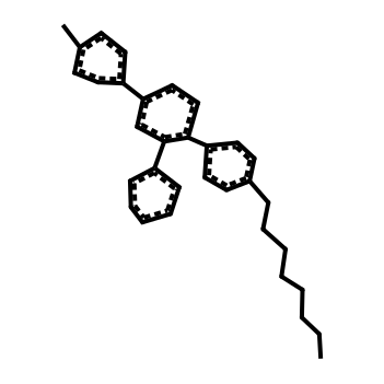 CCCCCCCCc1ccc(-c2ccc(-c3ccc(C)cc3)cc2-c2ccccc2)cc1